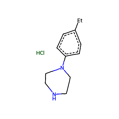 CCc1ccc(N2CCNCC2)cc1.Cl